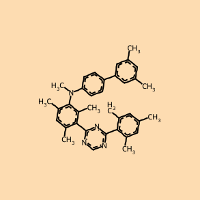 Cc1cc(C)cc(-c2ccc(N(C)c3c(C)cc(C)c(-c4ncnc(-c5c(C)cc(C)cc5C)n4)c3C)cc2)c1